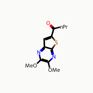 CCCC(=O)c1cc2nc(OC)c(OC)nc2s1